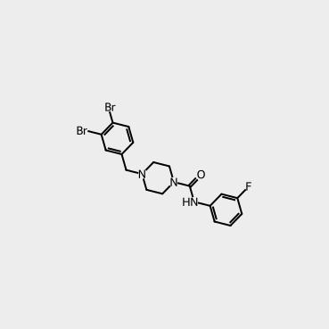 O=C(Nc1cccc(F)c1)N1CCN(Cc2ccc(Br)c(Br)c2)CC1